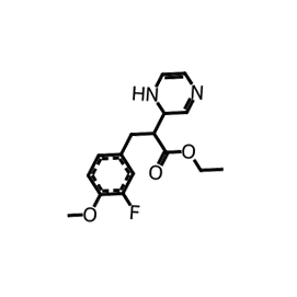 CCOC(=O)C(Cc1ccc(OC)c(F)c1)C1C=NC=CN1